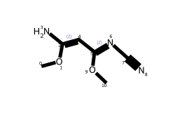 CO/C(N)=C\C(=N\C#N)OC